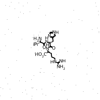 CC(C)[C@H](N)C(=O)N[C@@H](Cc1c[nH]cn1)C(=O)N[C@@H](CCCNC(=N)N)C(=O)O